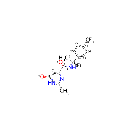 CC[C@](C)(NC(=O)c1cc(=O)[nH]c(C)n1)c1ccc(C(F)(F)F)cc1